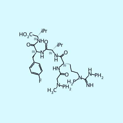 CC(C)[C@H](NC(=O)[C@H](Cc1ccc(F)cc1)NC(=O)[C@@H](NC(=O)[C@H](CCCN(P)C(=N)NP)NC(=O)CN(C)P)C(C)C)C(=O)O